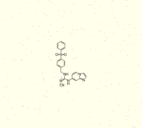 N#C/N=C(/NCc1ccc(S(=O)(=O)c2ccccc2)cc1)Nc1ccn2ccnc2c1